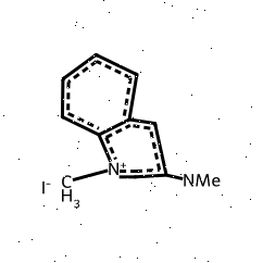 CNc1cc2ccccc2[n+](C)c1.[I-]